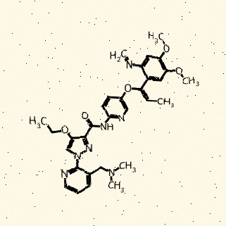 C=Nc1cc(OC)c(OC)cc1/C(=C\C)Oc1ccc(NC(=O)c2nn(-c3ncccc3CN(C)C)cc2OCC)nc1